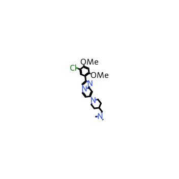 COc1cc(OC)c(-c2cn3ccc(N4CCC(CN(C)C)CC4)cc3n2)cc1Cl